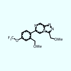 COCc1cc(OC(F)(F)F)ccc1-c1cn2c(COC)nnc2cn1